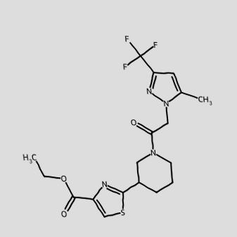 CCOC(=O)c1csc(C2CCCN(C(=O)Cn3nc(C(F)(F)F)cc3C)C2)n1